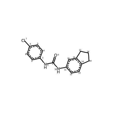 O=C(Nc1ccc(Cl)cc1)Nc1ccc2c(c1)CCC2